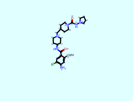 COc1cc(N)c(Br)cc1C(=O)NC1CCN(CC2CCN(C(=O)NN3CCCC3)CC2)CC1